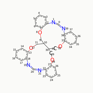 C1=Nc2ccccc2OCC2COc3ccccc3N=C=Nc3ccccc3OCC2COc2ccccc2N=1